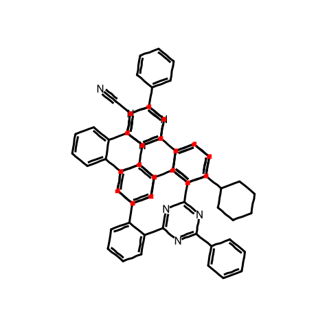 N#Cc1cccc(-c2ccc(-c3ccccc3-c3nc(-c4ccccc4)nc(-c4ccccc4C4CCCCC4)n3)cc2-c2ccccc2-c2nc(-c3ccccc3)nc(-c3ccccc3C3CCCCC3)n2)c1